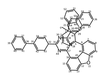 CC12C=CC=C(c3cccc4oc5cccc(-c6nc(-c7ccc8ccccc8c7)nc(C7C=CC(c8ccccc8)=CC7)n6)c5c34)C1Oc1ccccc12